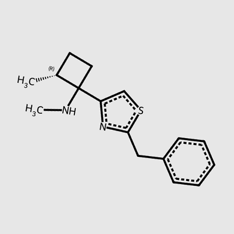 CNC1(c2csc(Cc3ccccc3)n2)CC[C@H]1C